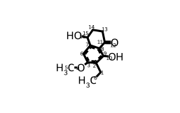 CCc1c(OC)cc2c(c1O)C(=O)CCC2O